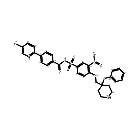 O=C(NS(=O)(=O)c1ccc(NCC2(Sc3ccccc3)CCNCC2)c([N+](=O)[O-])c1)c1ccc(-c2ccc(Cl)cn2)cc1